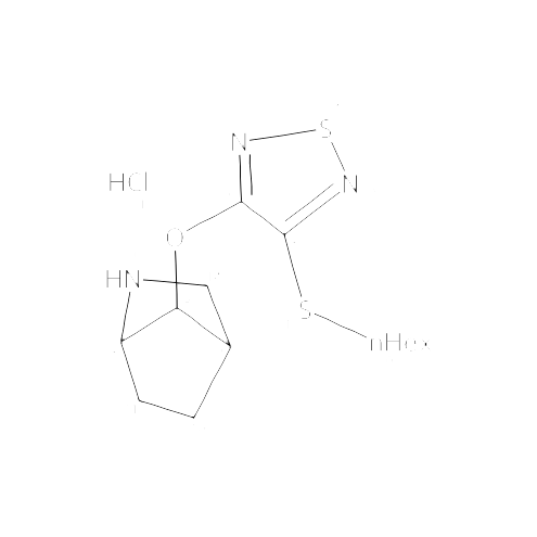 CCCCCCSc1nsnc1OC1C2CCC1NC2.Cl